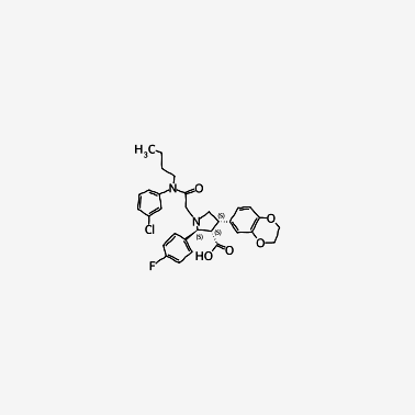 CCCCN(C(=O)CN1C[C@H](c2ccc3c(c2)OCCO3)[C@H](C(=O)O)[C@H]1c1ccc(F)cc1)c1cccc(Cl)c1